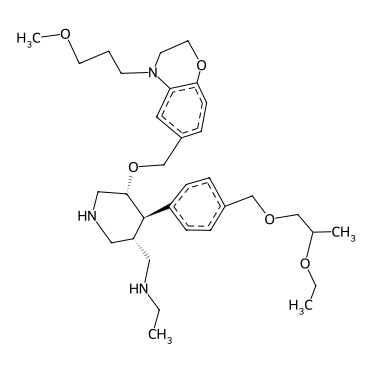 CCNC[C@@H]1CNC[C@H](OCc2ccc3c(c2)N(CCCOC)CCO3)[C@H]1c1ccc(COCC(C)OCC)cc1